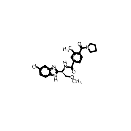 COC[C@H](NC(=O)c1ccc(C(=O)N2CCCC2)c(C)c1)c1nc2cc(Cl)ccc2[nH]1